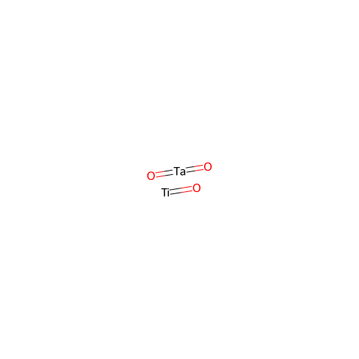 [O]=[Ta]=[O].[O]=[Ti]